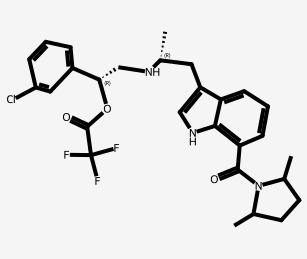 CC1CCC(C)N1C(=O)c1cccc2c(C[C@@H](C)NC[C@H](OC(=O)C(F)(F)F)c3cccc(Cl)c3)c[nH]c12